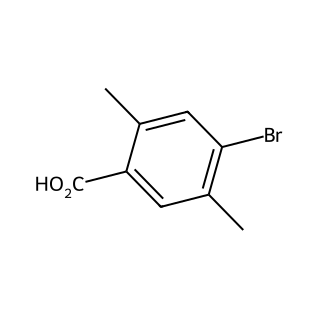 Cc1cc(C(=O)O)c(C)cc1Br